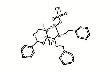 O=S(=O)(O[C@@H]1O[C@@H]2COC(c3ccccc3)O[C@H]2[C@H](OCc2ccccc2)[C@H]1OCc1ccccc1)C(F)(F)F